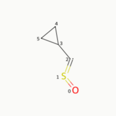 O=S=[C]C1CC1